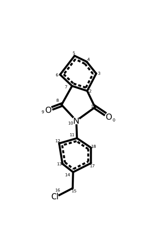 O=C1c2ccccc2C(=O)N1c1ccc(CCl)cc1